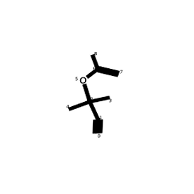 C#CC(C)(C)OC(=C)C